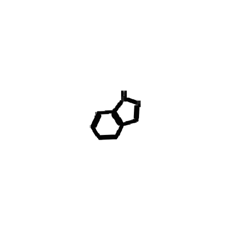 [c]1[c]c2[nH]ncc2cc1